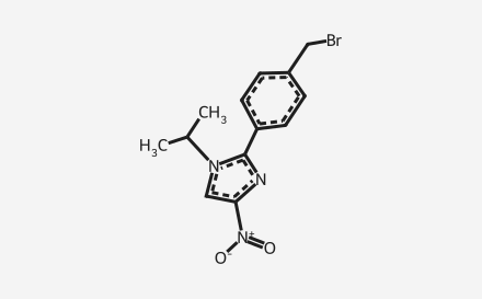 CC(C)n1cc([N+](=O)[O-])nc1-c1ccc(CBr)cc1